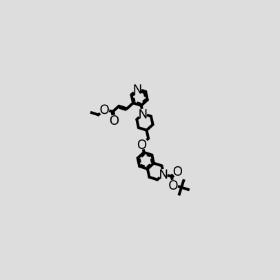 CCOC(=O)/C=C/c1cnccc1N1CCC(COc2ccc3c(c2)CN(C(=O)OC(C)(C)C)CC3)CC1